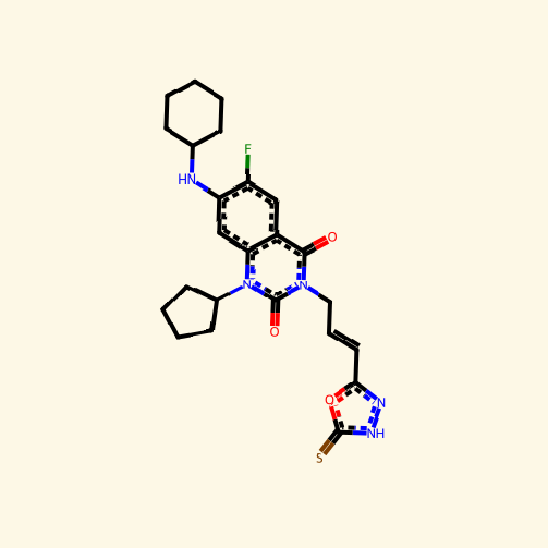 O=c1c2cc(F)c(NC3CCCCC3)cc2n(C2CCCC2)c(=O)n1CC=Cc1n[nH]c(=S)o1